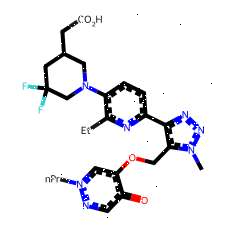 CCCn1cc(OCc2c(-c3ccc(N4CC(CC(=O)O)CC(F)(F)C4)c(CC)n3)nnn2C)c(=O)cn1